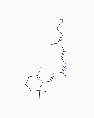 CC1=C(/C=C/C(C)=C\C=C\C(C)=C\CCl)C(C)(C)CCC1